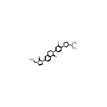 CCn1ccn(-c2ccc3c(c2)CCN(c2ccc(N4CC[C@@H](N(C)C)C4)c(F)c2)C3=O)c1=O